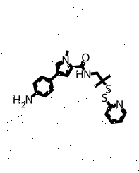 Cn1cc(-c2ccc(N)cc2)cc1C(=O)NCC(C)(C)SSc1ccccn1